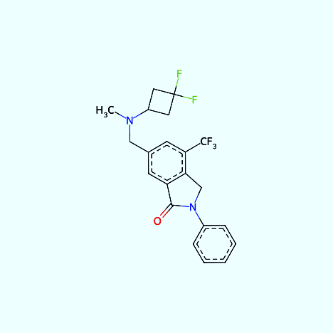 CN(Cc1cc2c(c(C(F)(F)F)c1)CN(c1ccccc1)C2=O)C1CC(F)(F)C1